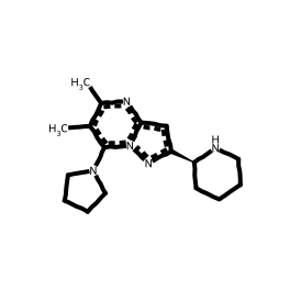 Cc1nc2cc([C@@H]3CCCCN3)nn2c(N2CCCC2)c1C